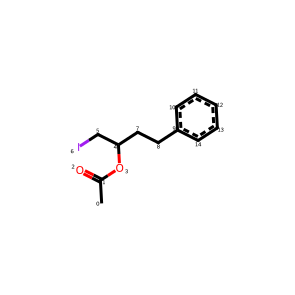 CC(=O)OC(CI)CCc1ccccc1